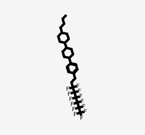 CCCCC1CCC(C2CCC(c3ccc(CCC(F)(F)C(F)(F)C(F)(F)C(F)(F)C(F)(F)C(F)(F)F)cc3)CC2)CC1